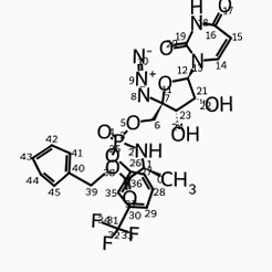 C[C@H](NP(=O)(OC[C@@]1(N=[N+]=[N-])O[C@@H](n2ccc(=O)[nH]c2=O)[C@H](O)[C@@H]1O)Oc1cccc(C(F)(F)F)c1)C(=O)OCc1ccccc1